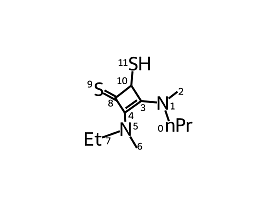 CCCN(C)C1=C(N(C)CC)C(=S)C1S